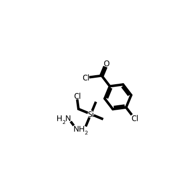 C[Si](C)(C)CCl.NN.O=C(Cl)c1ccc(Cl)cc1